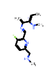 C=C(/N=C/c1nc(CNC)ccc1F)/C(=C/C)NC